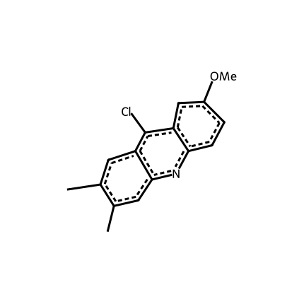 COc1ccc2nc3cc(C)c(C)cc3c(Cl)c2c1